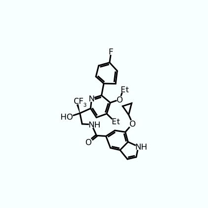 CCOc1c(CC)cc([C@@](O)(CNC(=O)c2cc(OC3CC3)c3[nH]ccc3c2)C(F)(F)F)nc1-c1ccc(F)cc1